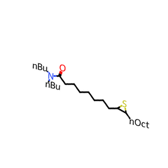 CCCCCCCCC1SC1CCCCCCCC(=O)N(CCCC)CCCC